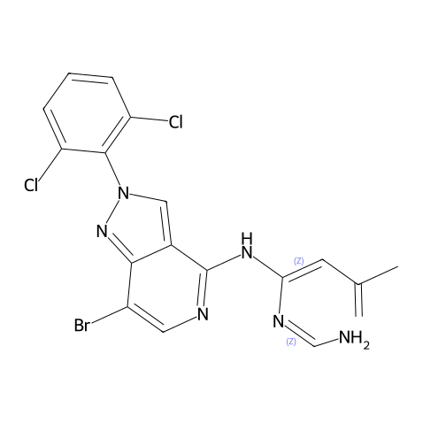 C=C(C)/C=C(\N=C/N)Nc1ncc(Br)c2nn(-c3c(Cl)cccc3Cl)cc12